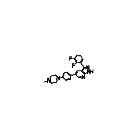 CN1CCN(c2ccc(-c3cnc4[nH]nc(-c5cccc(F)c5F)c4c3)cc2)CC1